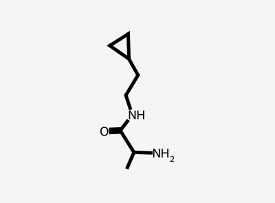 CC(N)C(=O)NCCC1CC1